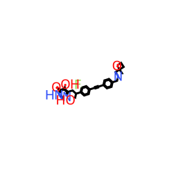 O=c1[nH]cnc(CC(CO)c2ccc(C#Cc3ccc(CN4CC5(CCO5)C4)cc3)cc2F)c1O